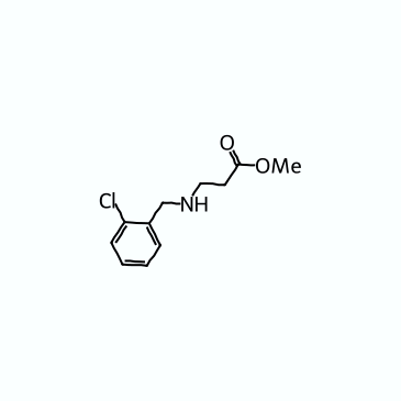 COC(=O)CCNCc1ccccc1Cl